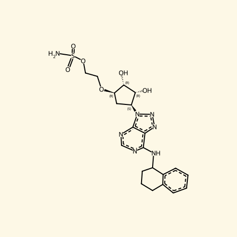 NS(=O)(=O)OCCO[C@@H]1C[C@H](n2nnc3c(NC4CCCc5ccccc54)ncnc32)[C@@H](O)[C@H]1O